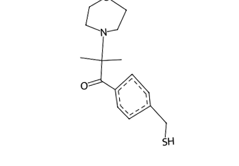 CC(C)(C(=O)c1ccc(CS)cc1)N1CCOCC1